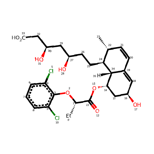 CC[C@H](Oc1c(Cl)cccc1Cl)C(=O)O[C@H]1C[C@H](O)C=C2C=C[C@@H](C)[C@H](CC[C@@H](O)C[C@@H](O)CC(=O)O)[C@H]21